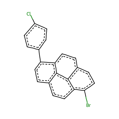 Clc1ccc(-c2ccc3ccc4c(Br)ccc5ccc2c3c54)cc1